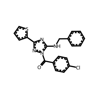 O=C(c1ccc(Cl)cc1)n1nc(-c2cccs2)nc1NCc1ccccc1